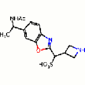 CC(=O)NC(C)c1ccc2nc(C(C3CNC3)S(=O)(=O)O)oc2c1